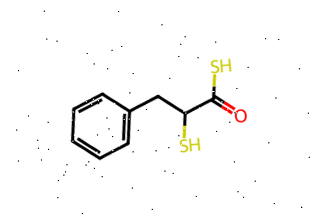 O=C(S)C(S)Cc1ccccc1